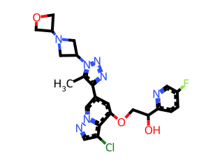 Cc1c(-c2cc(OCC(O)c3ccc(F)cn3)c3c(Cl)cnn3c2)nnn1C1CN(C2COC2)C1